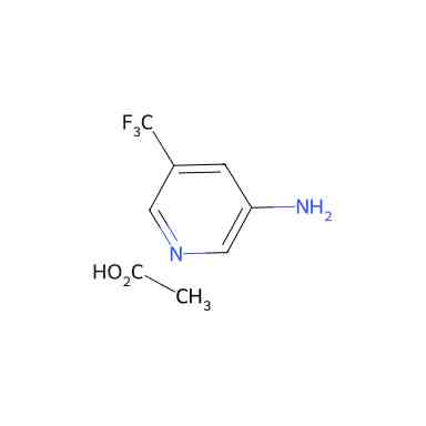 CC(=O)O.Nc1cncc(C(F)(F)F)c1